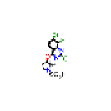 C[C@@H]1[C@H](Oc2nc(Cl)nc3c(F)c(Br)ccc23)CCN1C(=O)O